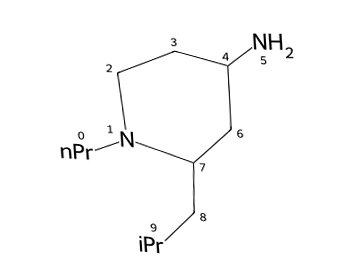 CCCN1CCC(N)CC1CC(C)C